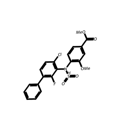 COC(=O)c1ccc(N(c2c(Cl)ccc(-c3ccccc3)c2F)[SH](=O)=O)c(OC)c1